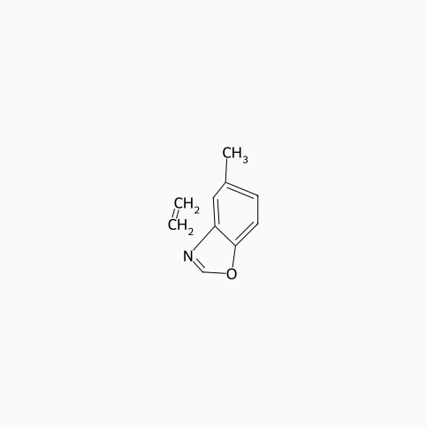 C=C.Cc1ccc2ocnc2c1